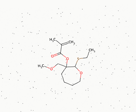 C=C(C)C(=O)OC1(COC)CCCCOC1SCC